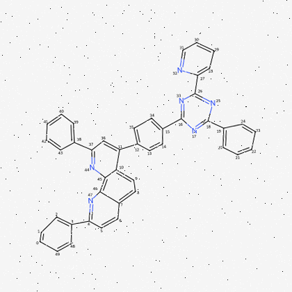 c1ccc(-c2ccc3ccc4c(-c5ccc(-c6nc(-c7ccccc7)nc(-c7ccccn7)n6)cc5)cc(-c5ccccc5)nc4c3n2)cc1